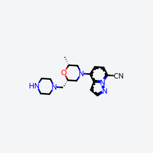 C[C@@H]1CN(c2ccc(C#N)n3nccc23)C[C@H](CN2CCNCC2)O1